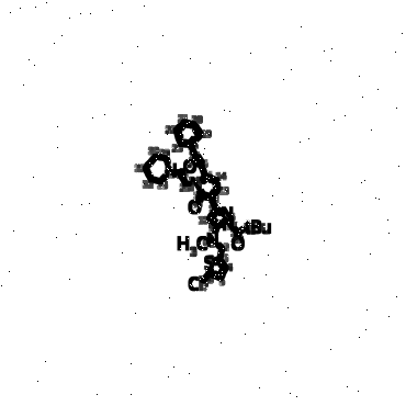 CN(Cc1ccc(Cl)s1)c1cc(-c2ccc(C#Cc3ccccc3)n(CC(=O)N3CCCCC3)c2=O)nn1C(=O)C(C)(C)C